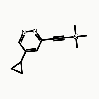 C[Si](C)(C)C#Cc1cc(C2CC2)cnn1